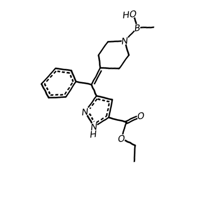 CCOC(=O)c1cc(C(=C2CCN(B(C)O)CC2)c2ccccc2)n[nH]1